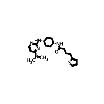 CN(C)c1ccnc(N[C@H]2CC[C@@H](NC(=O)CCCc3cccs3)CC2)n1